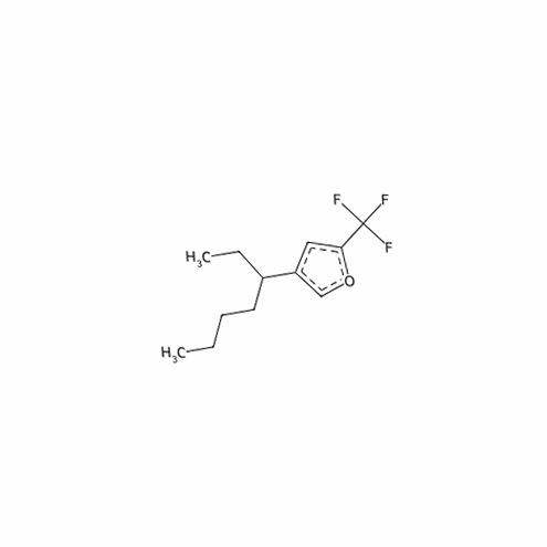 CCCCC(CC)c1coc(C(F)(F)F)c1